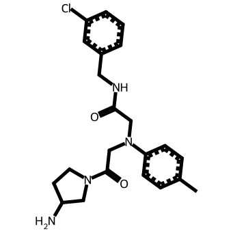 Cc1ccc(N(CC(=O)NCc2cccc(Cl)c2)CC(=O)N2CCC(N)C2)cc1